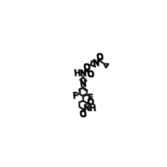 O=C1CCC(c2c(F)cc(N3CC(NC(=O)OC4CN(C(=O)C5CC5)C4)C3)cc2F)C(=O)N1